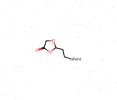 CCCCCCCC1OCC(=O)O1